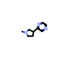 CN1CCC(c2cnccn2)C1